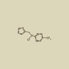 [O-][S+](Cc1cccs1)c1ncc(C(F)(F)F)cn1